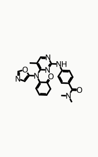 Cc1cnc(Nc2ccc(C(=O)N(C)C)cc2)nc1N(C1=CC=CCC1=O)c1cnco1